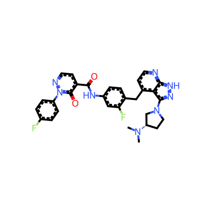 CN(C)[C@H]1CCN(c2n[nH]c3nccc(Cc4ccc(NC(=O)c5ccnn(-c6ccc(F)cc6)c5=O)cc4F)c23)C1